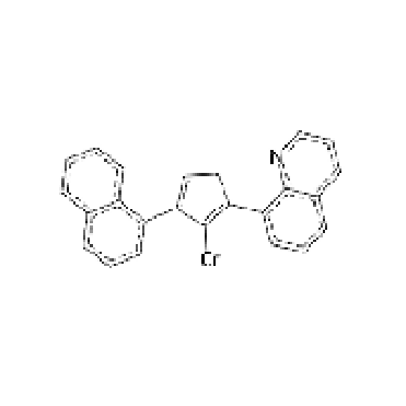 [Cr][C]1=C(c2cccc3cccnc23)CC=C1c1cccc2ccccc12